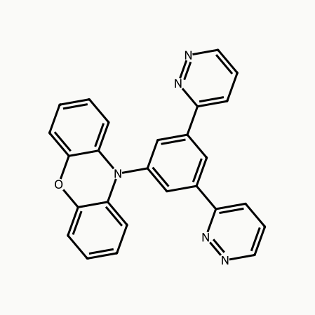 c1cnnc(-c2cc(-c3cccnn3)cc(N3c4ccccc4Oc4ccccc43)c2)c1